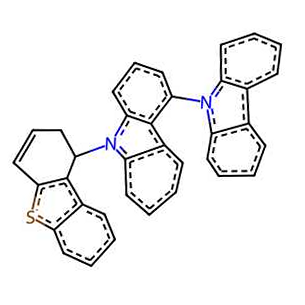 C1=Cc2sc3ccccc3c2C(n2c3ccccc3c3c(-n4c5ccccc5c5ccccc54)cccc32)C1